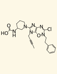 CC#CCn1c(N2CCCC(NC(=O)O)C2)nc2c1ON(CCc1ccccc1)C(Cl)=N2